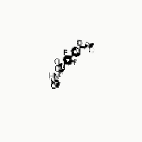 CC(=O)OCC(=O)N1CC=C(c2c(F)cc(N3C[C@H](CNc4ccon4)OC3=O)cc2F)CC1